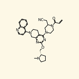 C=CC(=O)N1CCN(c2nc(OC[C@@H]3CCCN3C)nc3c2CCN(c2ccnc4ccccc24)C3)CC1CC#N